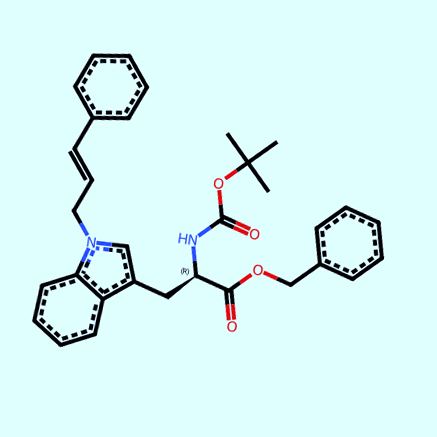 CC(C)(C)OC(=O)N[C@H](Cc1cn(CC=Cc2ccccc2)c2ccccc12)C(=O)OCc1ccccc1